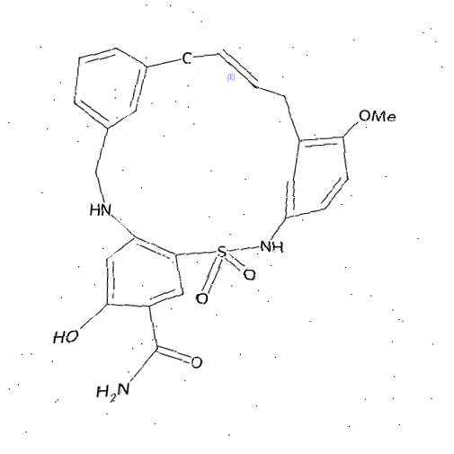 COc1ccc2cc1C/C=C/Cc1cccc(c1)CNc1cc(O)c(C(N)=O)cc1S(=O)(=O)N2